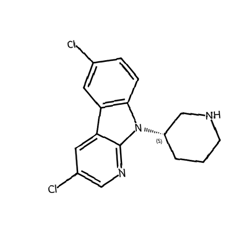 Clc1ccc2c(c1)c1cc(Cl)cnc1n2[C@H]1CCCNC1